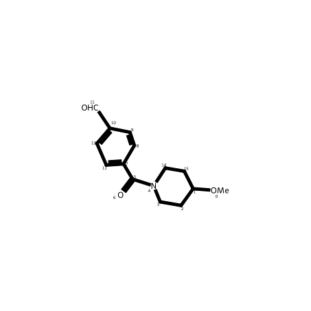 COC1CCN(C(=O)c2ccc(C=O)cc2)CC1